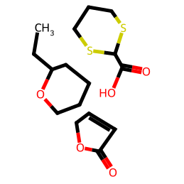 CCC1CCCCO1.O=C(O)C1SCCCS1.O=C1C=CCO1